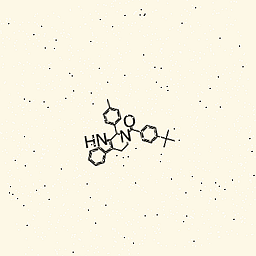 Cc1ccc(C2c3[nH]c4ccccc4c3CCN2C(=O)c2ccc(C(C)(C)C)cc2)cc1